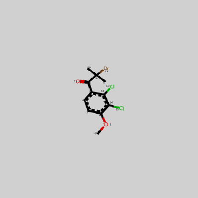 COc1ccc(C(=O)C(C)(C)Br)c(Cl)c1Cl